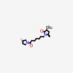 C=C1CC(C(C)(C)C)C(=O)N1CCCCCCC(=O)N1CC[C@H](C)C1